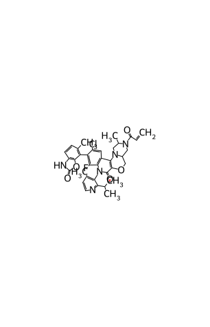 C=CC(=O)N1CC2COc3c(c4cc(Cl)c(-c5c(C)ccc6[nH]c(=O)oc56)c(F)c4n(-c4c(C)ccnc4C(C)C)c3=O)N2CC1C